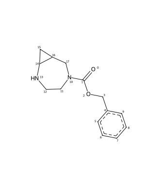 O=C(OCc1ccccc1)N1CCNC2CC2C1